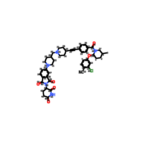 CC1CCC(Oc2ccc(C#N)c(Cl)c2)N(C(=O)c2ccc(C#CC3CCN(CC4CCN(c5ccc6c(c5)C(=O)N(C5CCC(=O)NC5=O)C6=O)CC4)CC3)cc2)C1